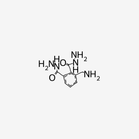 NCc1cccc(C(=O)NN)c1C(=O)NN